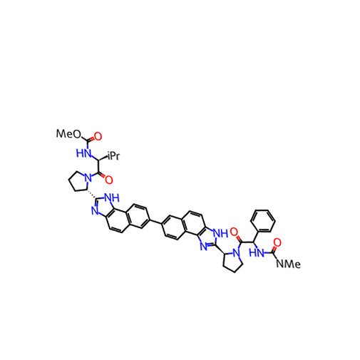 CNC(=O)N[C@@H](C(=O)N1CCC[C@H]1c1nc2c(ccc3cc(-c4ccc5c(ccc6nc([C@@H]7CCCN7C(=O)[C@@H](NC(=O)OC)C(C)C)[nH]c65)c4)ccc32)[nH]1)c1ccccc1